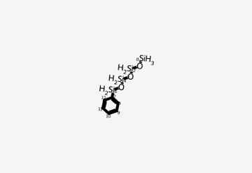 [SiH3]O[SiH2]O[SiH2]O[SiH2]c1ccccc1